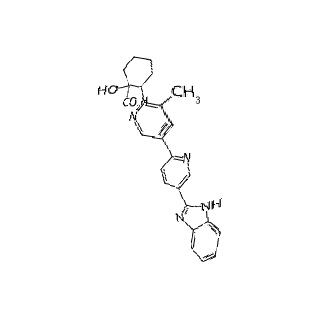 Cc1cc(-c2ccc(-c3nc4ccccc4[nH]3)cn2)cnc1C1CCCCC1(O)C(=O)O